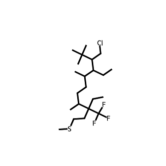 CCC(C(C)CCC(C)C(CC)(CCSC)C(F)(F)F)C(CCl)C(C)(C)C